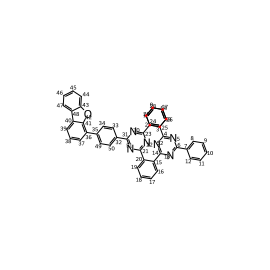 c1ccc(-c2nc(-c3ccccc3)nc(-c3ccccc3-c3nc(-c4ccccc4)nc(-c4ccc(-c5cccc6c5oc5ccccc56)cc4)n3)n2)cc1